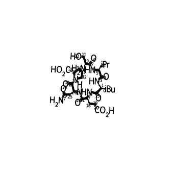 CC[C@H](C)[C@H](NC(=O)[C@@H](NC(=O)[C@@H](N)CO)C(C)C)C(=O)N[C@@H](CCC(=O)O)C(=O)N[C@@H](CC(N)=O)C(=O)N1CCC[C@H]1C(=O)O